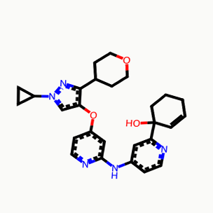 OC1(c2cc(Nc3cc(Oc4cn(C5CC5)nc4C4CCOCC4)ccn3)ccn2)C=CCCC1